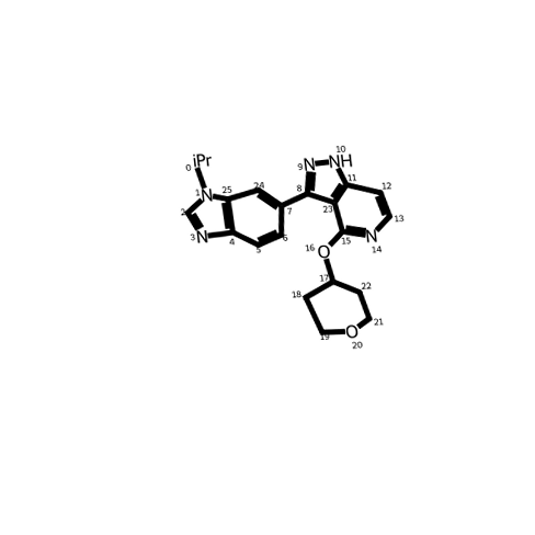 CC(C)n1cnc2ccc(-c3n[nH]c4ccnc(OC5CCOCC5)c34)cc21